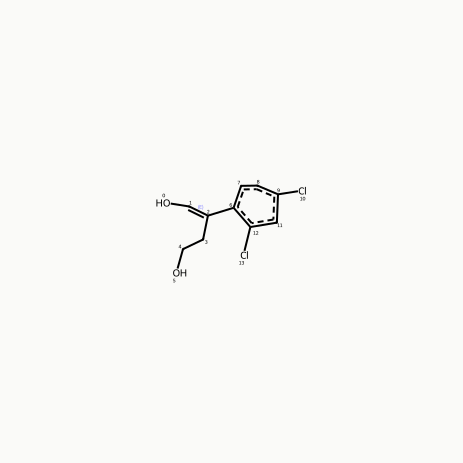 O/C=C(\CCO)c1ccc(Cl)cc1Cl